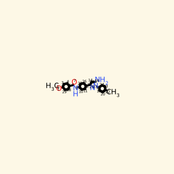 COc1ccc(C(=O)Nc2ccc(-c3cc(N)n(-c4ccc(C)cc4)n3)cc2)cc1